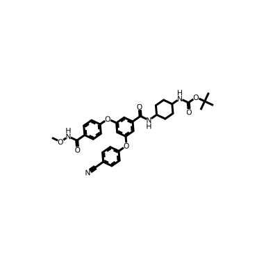 CONC(=O)c1ccc(Oc2cc(Oc3ccc(C#N)cc3)cc(C(=O)NC3CCC(NC(=O)OC(C)(C)C)CC3)c2)cc1